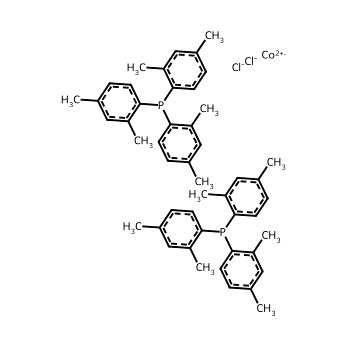 Cc1ccc(P(c2ccc(C)cc2C)c2ccc(C)cc2C)c(C)c1.Cc1ccc(P(c2ccc(C)cc2C)c2ccc(C)cc2C)c(C)c1.[Cl-].[Cl-].[Co+2]